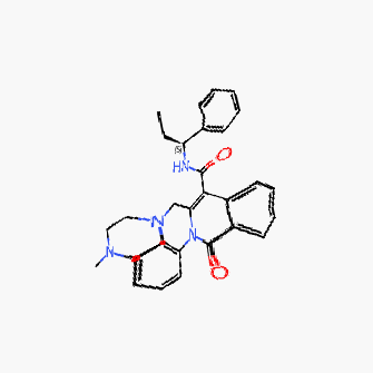 CC[C@H](NC(=O)c1c(CN2CCN(C)CC2)n(-c2ccccc2)c(=O)c2ccccc12)c1ccccc1